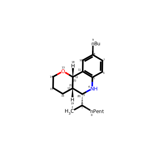 CCCCCC(C)[C@H]1Nc2ccc(CCCC)cc2[C@H]2OCCC[C@H]21